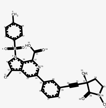 Cc1ccc(S(=O)(=O)n2cc(Cl)c3cc(-c4cccc(C#C[C@]5(O)CCN(C)C5=O)c4)nc(C(=O)O)c32)cc1